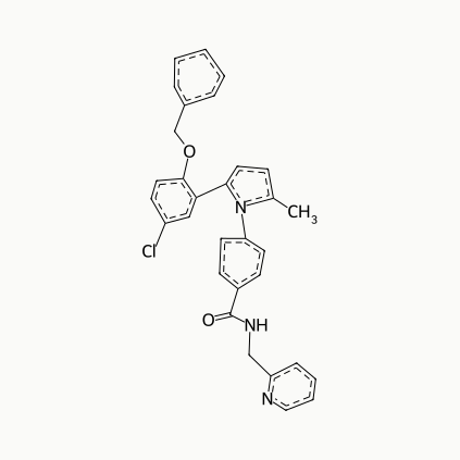 Cc1ccc(-c2cc(Cl)ccc2OCc2ccccc2)n1-c1ccc(C(=O)NCc2ccccn2)cc1